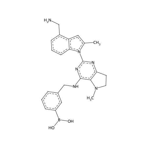 Cc1cc2c(CN)cccc2n1-c1nc2c(c(NCc3cccc(B(O)O)c3)n1)N(C)CC2